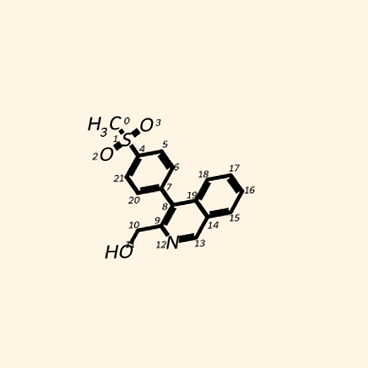 CS(=O)(=O)c1ccc(-c2c(CO)ncc3ccccc23)cc1